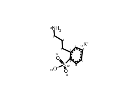 NCCCc1ccccc1S(=O)(=O)[O-].[K+]